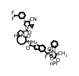 CCCOC(=O)[C@H](C)NP(=O)(Oc1ccccc1)[C@@H](F)c1ccc2sc(C(=O)N[C@H]3CCCC[C@H]4CC[C@@H](C(=O)N5C[C@H](c6cccc(C(F)F)c6)[C@@H](C#N)C56CC6)N4C3=O)cc2c1